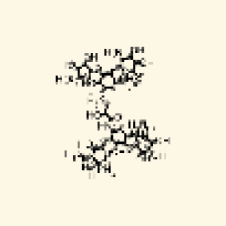 CN[C@@H]1[C@@H](O)[C@@H](O[C@@H]2[C@@H](O)[C@H](O[C@H]3O[C@H](CN)[C@@H](O)[C@H](O)[C@H]3O)[C@@H](N)C[C@H]2NC(=O)C(O)CN)OC[C@]1(C)O.NC[C@H]1O[C@H](O[C@H]2[C@H](O[C@@H]3O[C@H](CO)[C@@H](O)[C@H]3O)C(O)[C@H](N)C[C@@H]2N)[C@H](N)[C@@H](O)[C@@H]1O